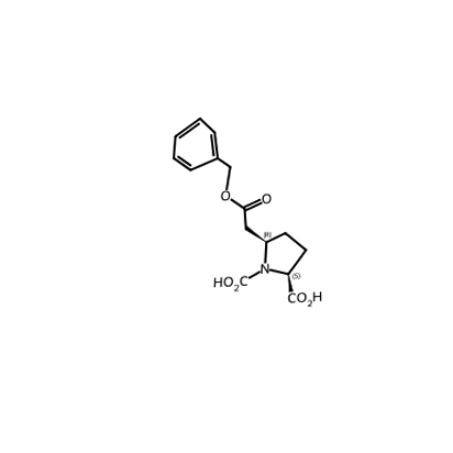 O=C(C[C@H]1CC[C@@H](C(=O)O)N1C(=O)O)OCc1ccccc1